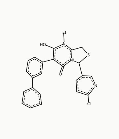 CCn1c(O)c(-c2cccc(-c3ccccc3)c2)c(=O)[n+]2c1CSC2c1ccc(Cl)nc1